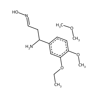 CCOc1cc(C(N)C/C=N/O)ccc1OC.COC